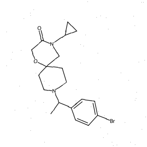 CC(c1ccc(Br)cc1)N1CCC2(CC1)CN(C1CC1)C(=O)CO2